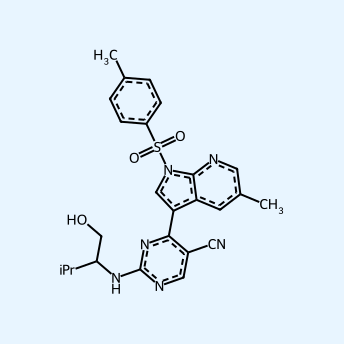 Cc1ccc(S(=O)(=O)n2cc(-c3nc(NC(CO)C(C)C)ncc3C#N)c3cc(C)cnc32)cc1